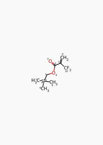 C=C(C(=O)OC[Si](C)(C)C)C(F)(F)F